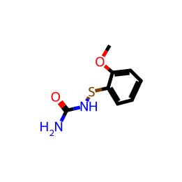 COc1ccccc1SNC(N)=O